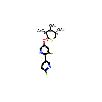 CC(=O)O[C@@H]1[C@@H](OC(C)=O)[C@H](OC(C)=O)CS[C@H]1Oc1cnc(-c2ccc(F)nc2)c(F)c1